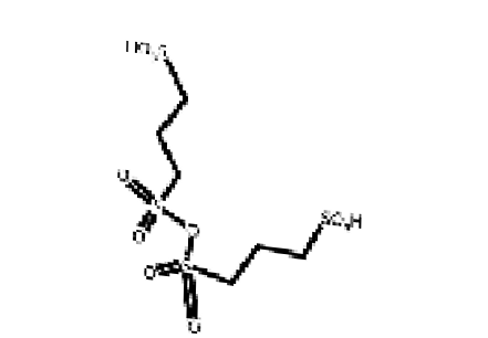 O=S(=O)(O)CCCS(=O)(=O)OS(=O)(=O)CCCS(=O)(=O)O